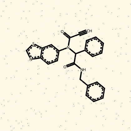 C#CC(=O)N(c1ccc2ncsc2c1)C(C(=O)NCc1ccccc1)c1ccccc1